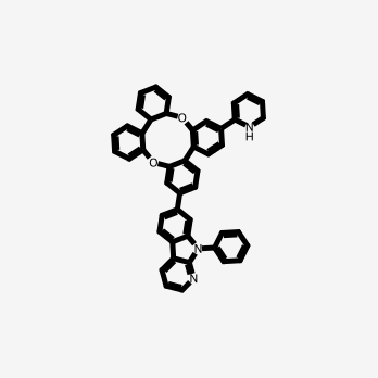 C1=CCNC(c2ccc3c(c2)OC2C=CC=CC2c2ccccc2Oc2cc(-c4ccc5c6cccnc6n(-c6ccccc6)c5c4)ccc2-3)=C1